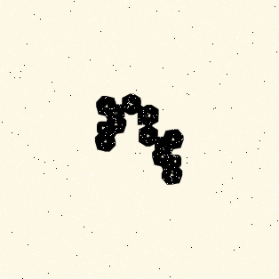 c1cc(-c2cccc(-c3cccc(-n4c5ccccc5c5c6oc7ccccc7c6ccc54)c3)n2)cc(-n2c3ccccc3c3c4oc5ccccc5c4ccc32)c1